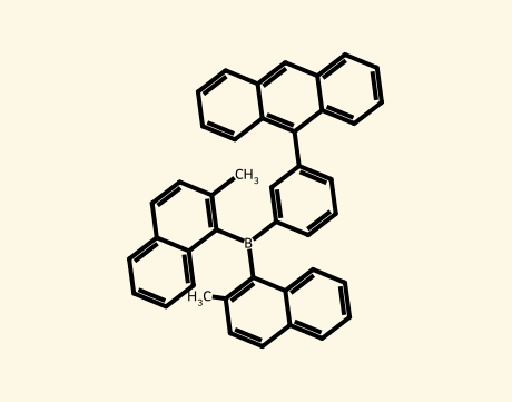 Cc1ccc2ccccc2c1B(c1cccc(-c2c3ccccc3cc3ccccc23)c1)c1c(C)ccc2ccccc12